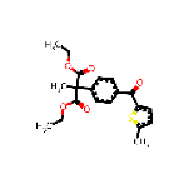 CCOC(=O)C(C)(C(=O)OCC)c1ccc(C(=O)c2ccc(C)s2)cc1